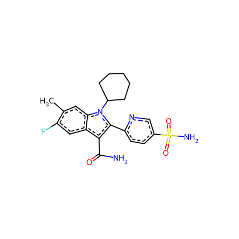 Cc1cc2c(cc1F)c(C(N)=O)c(-c1ccc(S(N)(=O)=O)cn1)n2C1CCCCC1